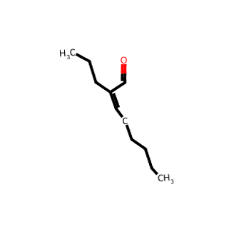 CCCCCC=C(C=O)CCC